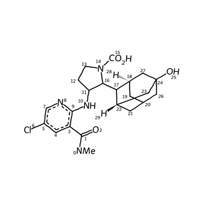 CNC(=O)c1cc(Cl)cnc1NC1CCN(C(=O)O)C1C1[C@@H]2CC3C[C@H]1CC(O)(C3)C2